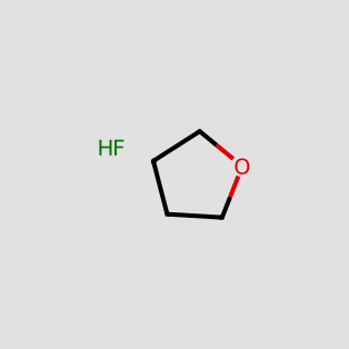 C1CCOC1.F